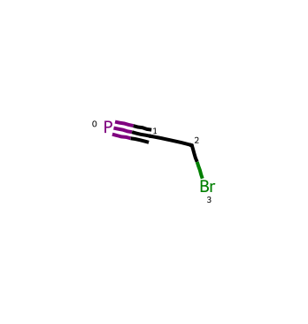 P#CCBr